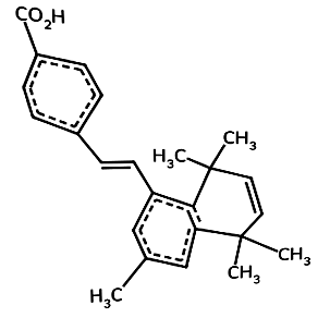 Cc1cc(C=Cc2ccc(C(=O)O)cc2)c2c(c1)C(C)(C)C=CC2(C)C